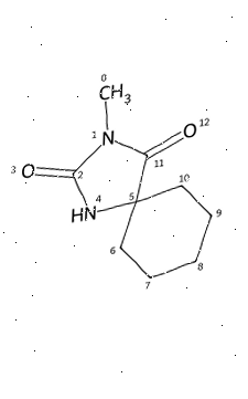 CN1C(=O)NC2(CCCCC2)C1=O